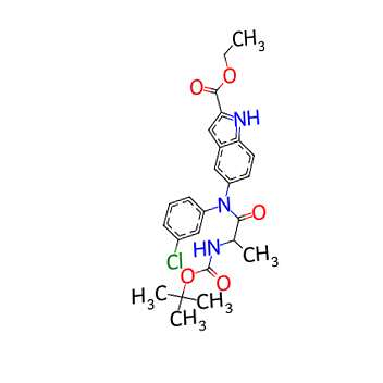 CCOC(=O)c1cc2cc(N(C(=O)C(C)NC(=O)OC(C)(C)C)c3cccc(Cl)c3)ccc2[nH]1